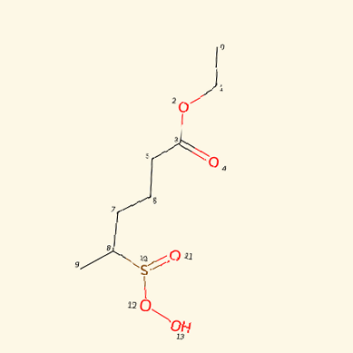 CCOC(=O)CCCC(C)S(=O)OO